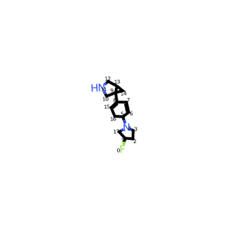 FC1CCN(C2C=CC(C34CNCC3C4)=CC2)C1